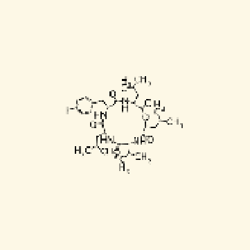 CC(C)C[C@@H]1NC(=O)C(C(C)C)NC(=O)[C@H](CC(C)C)OC(=O)[C@H](CC(C)C)NC(=O)[C@H](Cc2ccc(I)cc2)NC1=O